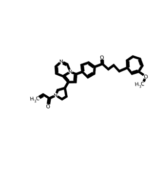 C=CC(=O)N1CCC(c2cc(-c3ccc(C(=O)CCCC4=CCC=CC(OC)=C4)cc3)n3cnccc23)C1